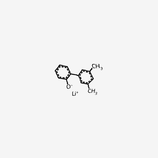 Cc1cc(C)cc(-c2ccccc2[O-])c1.[Li+]